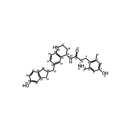 Cc1cc(O)cc(C)c1C[C@H](N)C(=O)N[C@@H]1CCNc2ccc(CC3Cc4ccc(O)cc4C3)cc21